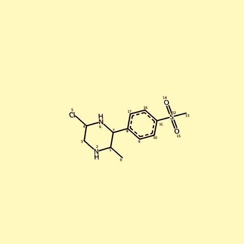 CC1NCC(Cl)NC1c1ccc(S(C)(=O)=O)cc1